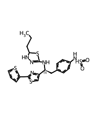 CCCC1NN=C(N[C@@H](Cc2ccc(N[SH](=O)=O)cc2)c2csc(-c3cccs3)n2)S1